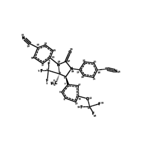 C[C@@]1(C(F)(F)F)[C@H](c2cccc(OC(F)(F)F)c2)N(c2ccc(C#N)cc2)C(=O)N1c1ccc(C#N)cc1